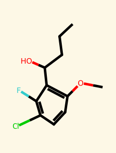 CCCC(O)c1c(OC)ccc(Cl)c1F